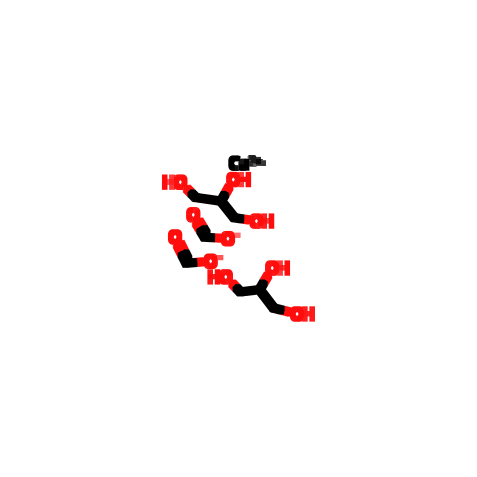 O=C[O-].O=C[O-].OCC(O)CO.OCC(O)CO.[Cu+2]